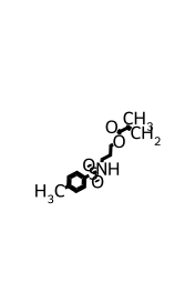 C=C(C)C(=O)OCCCNS(=O)(=O)c1ccc(C)cc1